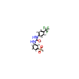 CS(=O)(=O)c1cccc(NC(=O)Nc2ccc(C(F)(F)F)cc2)c1